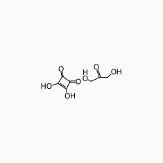 O=C(CO)CO.O=c1c(O)c(O)c1=O